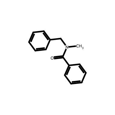 CN(Cc1ccccc1)C(=O)c1cc[c]cc1